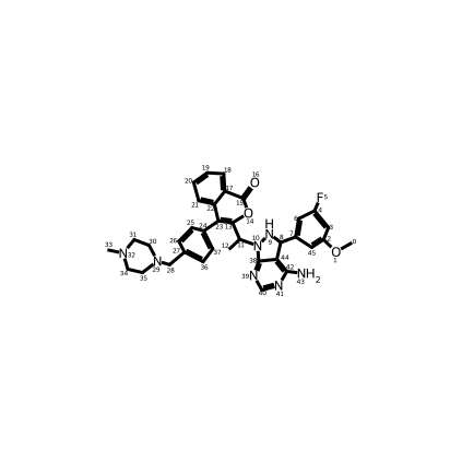 COc1cc(F)cc(C2NN(C(C)c3oc(=O)c4ccccc4c3-c3ccc(CN4CCN(C)CC4)cc3)c3ncnc(N)c32)c1